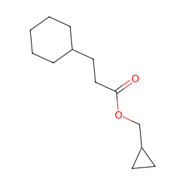 O=C(CCC1CCCCC1)OCC1CC1